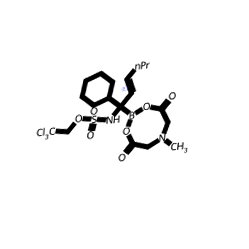 CCC/C=C/C(NS(=O)(=O)OCC(Cl)(Cl)Cl)(B1OC(=O)CN(C)CC(=O)O1)C1CCCCC1